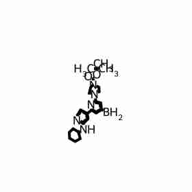 Bc1cc(-c2ccnc(NC3CCCCC3)c2)nc(N2CCN(C(=O)OC(C)(C)C)CC2)c1